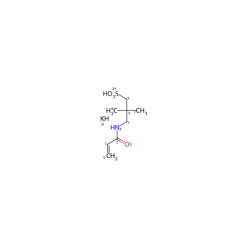 C=CC(=O)NCC(C)(C)CS(=O)(=O)O.[KH]